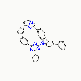 c1ccc(-c2cccc(-c3nc(-c4ccccc4)nc(-n4c5ccc(-c6ccccc6)cc5c5ccc(-c6cn7ccccc7n6)cc54)n3)c2)cc1